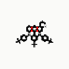 CC(C)(C)c1ccc(N(c2ccccc2)c2cc(C(C)(C)C)cc(N(c3ccc(C(C)(C)C)cc3)c3ccc4cccnc4c3)c2-c2ccccc2)cc1